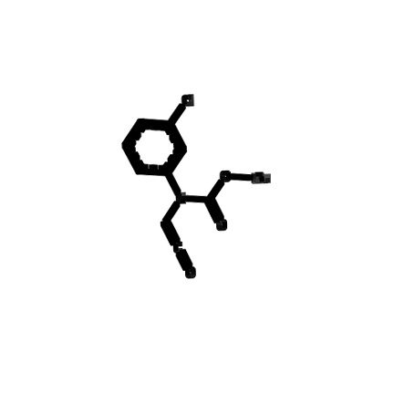 CC(C)(C)OC(=O)N(C=C=O)c1cccc(Cl)c1